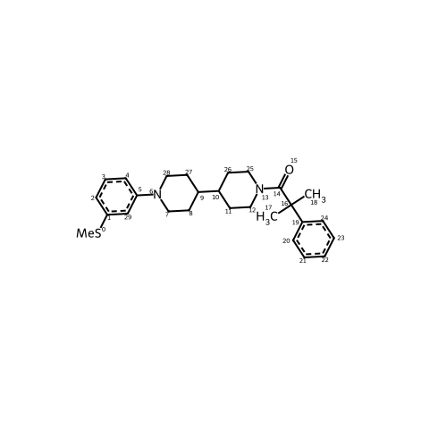 CSc1cccc(N2CCC(C3CCN(C(=O)C(C)(C)c4ccccc4)CC3)CC2)c1